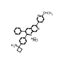 COc1ccc(-c2cc3cc(-c4ccccc4)c(-c4ccc(C5(N)CCC5)cc4)nc3cn2)cn1.Cl.Cl